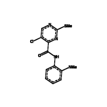 CNc1ccccc1NC(=O)c1nc(SC)ncc1Cl